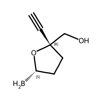 B[C@H]1CC[C@@](C#C)(CO)O1